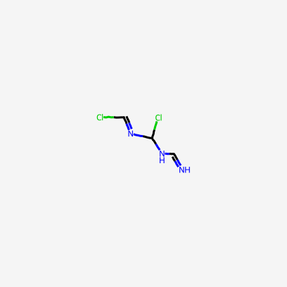 N=CNC(Cl)/N=C/Cl